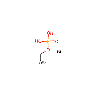 CCCCOP(=O)(O)O.[Ni]